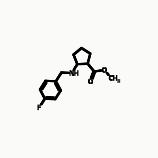 COC(=O)C1CCCC1NCc1ccc(F)cc1